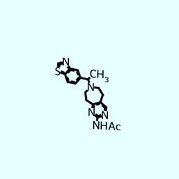 CC(=O)Nc1ncc2c(n1)CCN(C(C)c1ccc3scnc3c1)CC2